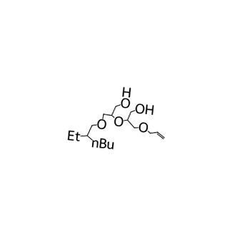 C=CCOCC(CO)OC(CO)COCC(CC)CCCC